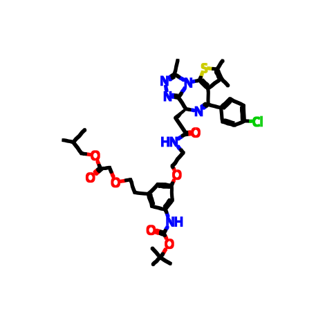 Cc1sc2c(c1C)C(c1ccc(Cl)cc1)=N[C@@H](CC(=O)NCCOc1cc(CCOCC(=O)OCC(C)C)cc(NC(=O)OC(C)(C)C)c1)c1nnc(C)n1-2